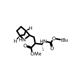 COC(=O)C(CC1N[C@@H]2CC[C@H]1C2)[C@@H](C)NC(=O)OC(C)(C)C